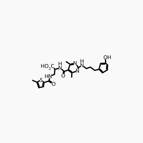 Cc1ccc(C(=O)NCC(NC(=O)c2c(C)nc(NCCCc3cccc(O)c3)nc2C)C(=O)O)s1